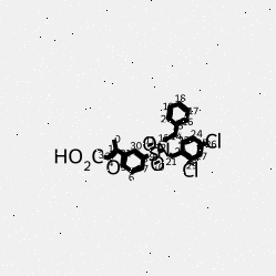 Cc1c(C(=O)O)oc2ccc(S(=O)(=O)N(CCc3ccccc3)Cc3ccc(Cl)cc3Cl)cc12